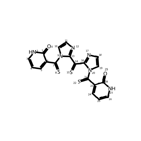 O=c1[nH]cccc1C(=S)n1ccnc1C(=S)c1nccn1C(=S)c1ccc[nH]c1=O